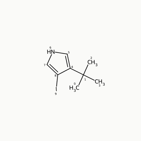 CC(C)(C)c1c[nH]cc1I